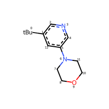 CC(C)(C)c1cncc(N2CCOCC2)c1